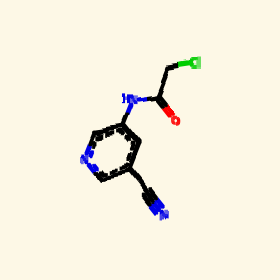 N#Cc1cncc(NC(=O)CCl)c1